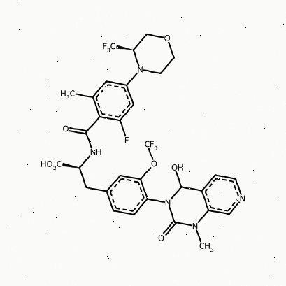 Cc1cc(N2CCOC[C@@H]2C(F)(F)F)cc(F)c1C(=O)N[C@@H](Cc1ccc(N2C(=O)N(C)c3cnccc3C2O)c(OC(F)(F)F)c1)C(=O)O